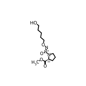 COC(=O)[C@@H]1CCCN1[N+]([O-])=NOCCCCCO